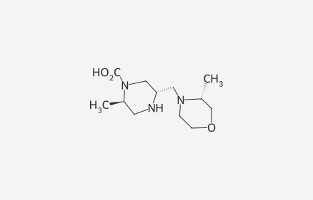 C[C@@H]1COCCN1C[C@H]1CN(C(=O)O)[C@H](C)CN1